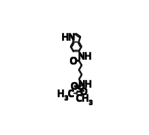 CC(C)S(=O)(=O)NCCCCC(=O)Nc1ccc2[nH]ccc2c1